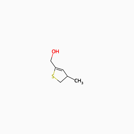 CC1C=C(CO)SC1